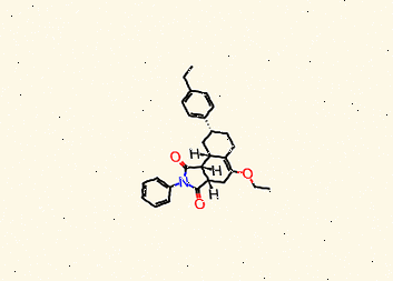 CCOC1=C2CC[C@@H](c3ccc(CC)cc3)C[C@H]2[C@H]2C(=O)N(c3ccccc3)C(=O)[C@H]2C1